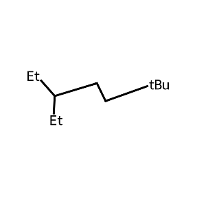 [CH2]C(C)(C)CCC(CC)CC